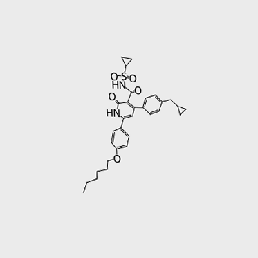 CCCCCCOc1ccc(-c2cc(-c3ccc(CC4CC4)cc3)c(C(=O)NS(=O)(=O)C3CC3)c(=O)[nH]2)cc1